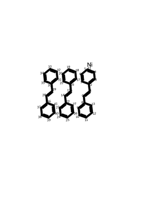 C(=C\c1ccccc1)/c1ccccc1.C(=C\c1ccccc1)/c1ccccc1.C(=C\c1ccccc1)/c1ccccc1.[Ni]